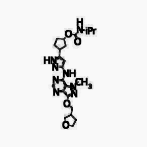 CC(C)NC(=O)OC1CCC(c2cc(Nc3ncnc4c(OCC5CCOC5)nn(C)c34)n[nH]2)C1